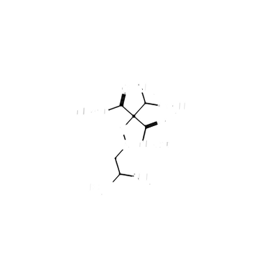 CCCCCCCC(=O)C(SSCC(N)C(=O)O)(C(=O)CCCCCCC)C(N)C(=O)O